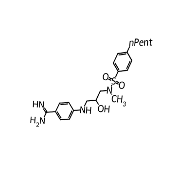 CCCCCc1ccc(S(=O)(=O)N(C)CC(O)CNc2ccc(C(=N)N)cc2)cc1